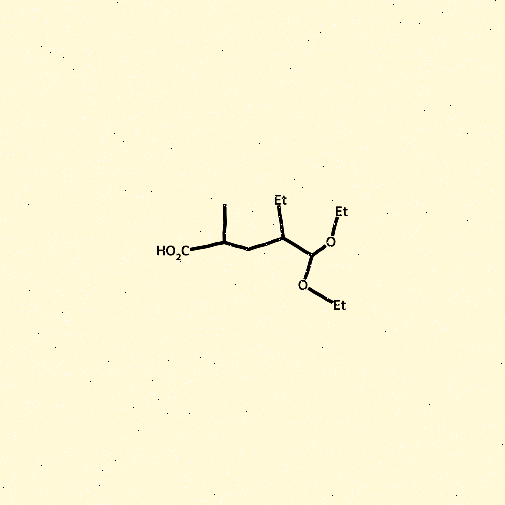 CCOC(OCC)C(CC)CC(C)C(=O)O